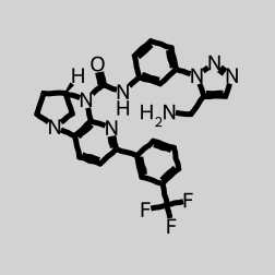 NCc1cnnn1-c1cccc(NC(=O)N2c3nc(-c4cccc(C(F)(F)F)c4)ccc3N3CC[C@H]2C3)c1